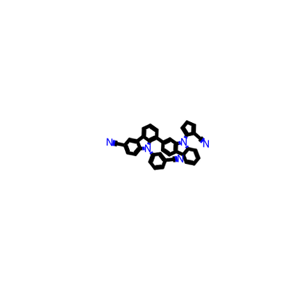 N#CC1=CCC=C1N1c2cc(-c3cccc4c5cc(C#N)ccc5n(-c5cccc(C#N)c5)c34)ccc2C2C=CC=CC21